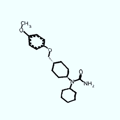 COc1ccc(OC[C@H]2CC[C@H](N(C(N)=O)C3CCCCC3)CC2)cc1